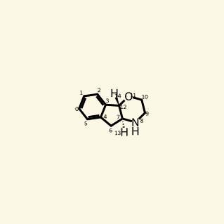 c1ccc2c(c1)C[C@@H]1NCCO[C@@H]21